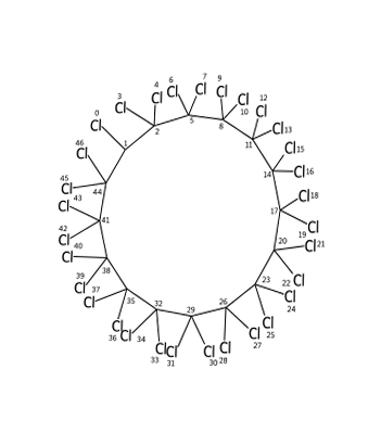 ClC1C(Cl)(Cl)C(Cl)(Cl)C(Cl)(Cl)C(Cl)(Cl)C(Cl)(Cl)C(Cl)(Cl)C(Cl)(Cl)C(Cl)(Cl)C(Cl)(Cl)C(Cl)(Cl)C(Cl)(Cl)C(Cl)(Cl)C(Cl)(Cl)C(Cl)(Cl)C1(Cl)Cl